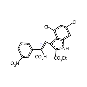 CCOC(=O)c1[nH]c2cc(Cl)cc(Cl)c2c1/C=C(\C(=O)O)c1cccc([N+](=O)[O-])c1